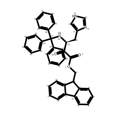 O=C(OCC1c2ccccc2-c2ccccc21)C(=O)[C@H](Cc1c[nH]cn1)NC(c1ccccc1)(c1ccccc1)c1ccccc1